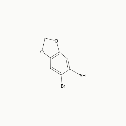 Sc1cc2c(cc1Br)OCO2